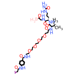 BC(=O)CNC(=O)[C@H](CCCNC(N)=O)NC(=O)C(NC(=O)CCOCCOCCOCCOCCNC(=O)c1ccc(NC(=O)CI)cc1)C(C)C